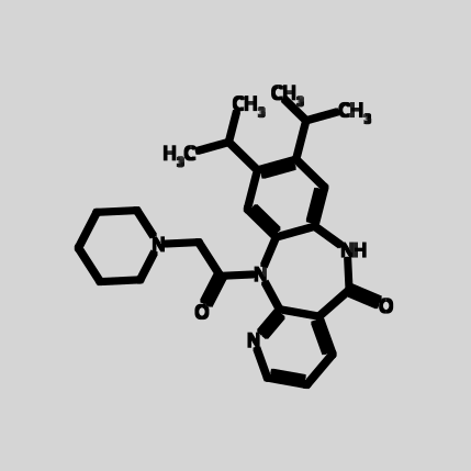 CC(C)c1cc2c(cc1C(C)C)N(C(=O)CN1CCCCC1)c1ncccc1C(=O)N2